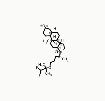 C[C@H](CCCOC(C)(C)C(F)F)[C@H]1CC[C@H]2[C@@H]3CC[C@@H]4C[C@H](O)CC[C@]4(C)[C@H]3CC[C@]12C